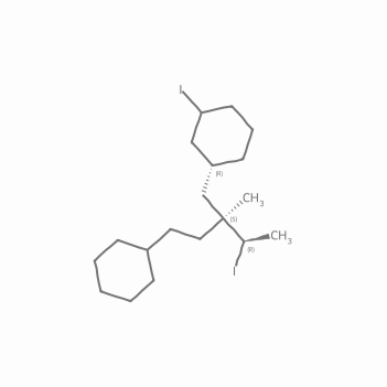 C[C@@H](I)[C@@](C)(CCC1CCCCC1)C[C@H]1CCCC(I)C1